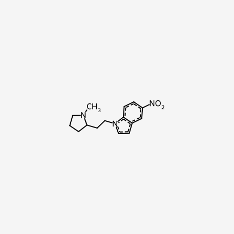 CN1CCCC1CCn1ccc2cc([N+](=O)[O-])ccc21